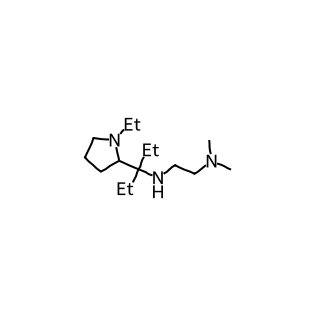 CCN1CCCC1C(CC)(CC)NCCN(C)C